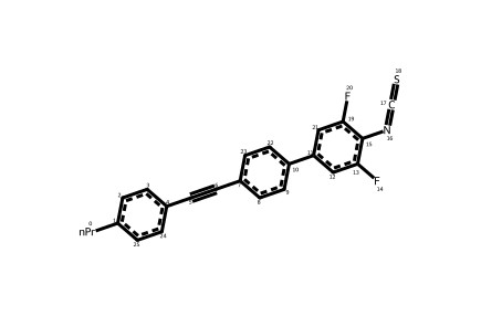 CCCc1ccc(C#Cc2ccc(-c3cc(F)c(N=C=S)c(F)c3)cc2)cc1